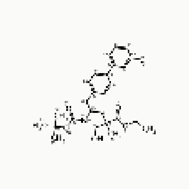 CCOC(=O)C(C)(CO)CC(Cc1ccc(-c2cccc(Cl)c2)cc1)NC(=O)OC(C)(C)C